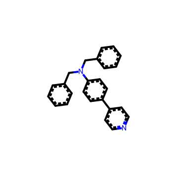 c1ccc(CN(Cc2ccccc2)c2ccc(-c3ccncc3)cc2)cc1